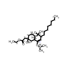 CCCCCCCCC(/C=C(/O[SiH](C)C)C1CCCC(O)(CC(=O)OCC)C1)C(C)(C)C